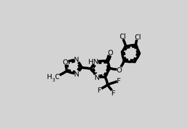 Cc1nc(-c2nc(C(F)(F)F)c(Oc3ccc(Cl)c(Cl)c3)c(=O)[nH]2)no1